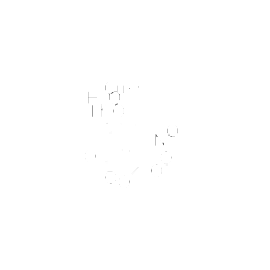 O.O.O=C([O-])c1cccc([N+](=O)[O-])c1C(=O)[O-].[Cu+2]